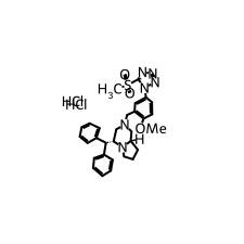 COc1ccc(-n2nnnc2S(C)(=O)=O)cc1CN1C[C@@H]2CCCN2[C@H](C(c2ccccc2)c2ccccc2)C1.Cl.Cl